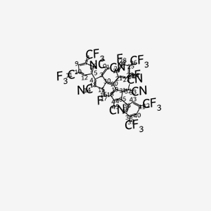 N#CC(C#N)=C1C(c2cc(C(F)(F)F)cc(C(F)(F)F)c2)=C(C#N)c2c(F)c3c(c(-c4cc(F)c(C(F)(F)F)c(F)c4)c21)C(=C(C#N)C#N)C(c1cc(C(F)(F)F)cc(C(F)(F)F)c1)=C3C#N